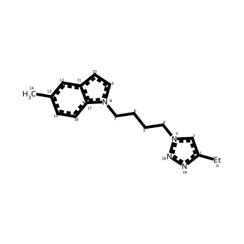 CCc1cn(CCCCn2ccc3cc(C)ccc32)nn1